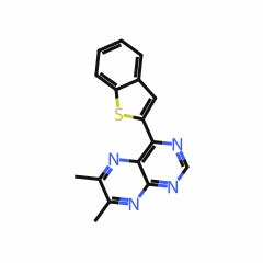 Cc1nc2ncnc(-c3cc4ccccc4s3)c2nc1C